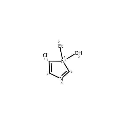 CC[N+]1(O)C=CN=C1.[Cl-]